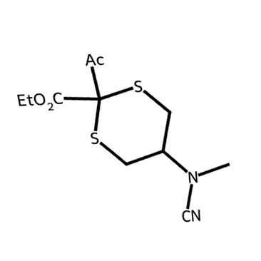 CCOC(=O)C1(C(C)=O)SCC(N(C)C#N)CS1